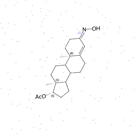 CC(=O)O[C@H]1CCC2C3CCC4=C/C(=N\O)CC[C@]4(C)C3CC[C@@]21C